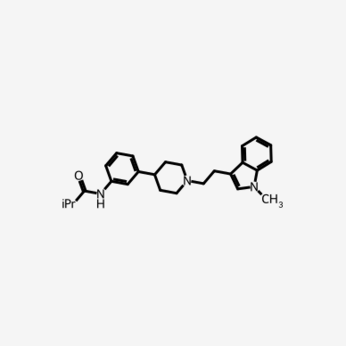 CC(C)C(=O)Nc1cccc(C2CCN(CCc3cn(C)c4ccccc34)CC2)c1